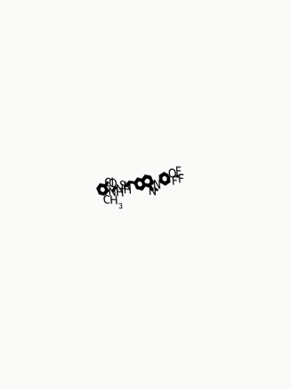 Cc1cccc(Cl)c1NC(=O)NS/N=C/c1ccc2c(ccc3c2ncn3-c2ccc(OC(F)(F)F)cc2)c1